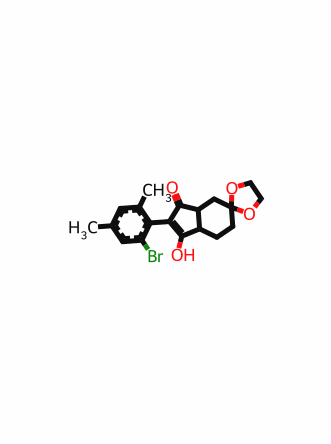 Cc1cc(C)c(C2=C(O)C3CCC4(CC3C2=O)OCCO4)c(Br)c1